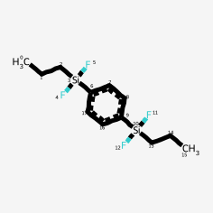 CCC[Si](F)(F)c1ccc([Si](F)(F)CCC)cc1